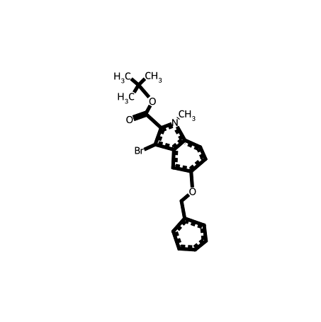 Cn1c(C(=O)OC(C)(C)C)c(Br)c2cc(OCc3ccccc3)ccc21